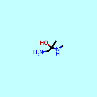 CNC(C)(O)CN